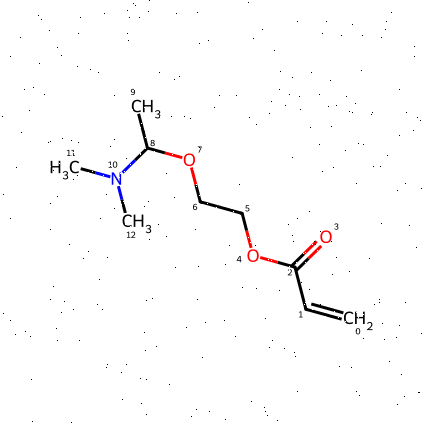 C=CC(=O)OCCOC(C)N(C)C